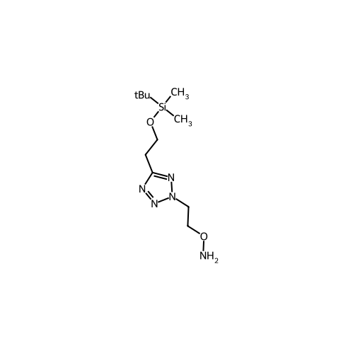 CC(C)(C)[Si](C)(C)OCCc1nnn(CCON)n1